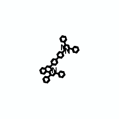 c1ccc(-c2cc(-c3ccccc3)nc(-c3ccc(-c4ccc(-c5cc6ccccc6c6c(-c7ccccc7)cc(-c7ccccc7)nc56)cc4)cc3)n2)cc1